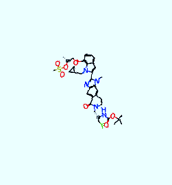 C[C@H](COc1cccc2cc(-c3nc4cc5c(cc4n3C)CCN(C[C@@H](CF)NC(=O)OC(C)(C)C)C5=O)n(CC3CC3)c12)OS(C)(=O)=O